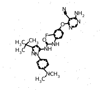 CN(C)c1ccc(-n2nc(C(C)(C)C)cc2NC(=O)Nc2ccc(Oc3ncnc(N)c3C#N)cc2F)cc1